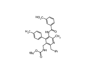 Cc1ccc(-c2c(CNC(=O)OC(C)(C)C)c(CC(C)C)nc(C)c2NC(=O)c2cccc(C(=O)O)c2)cc1